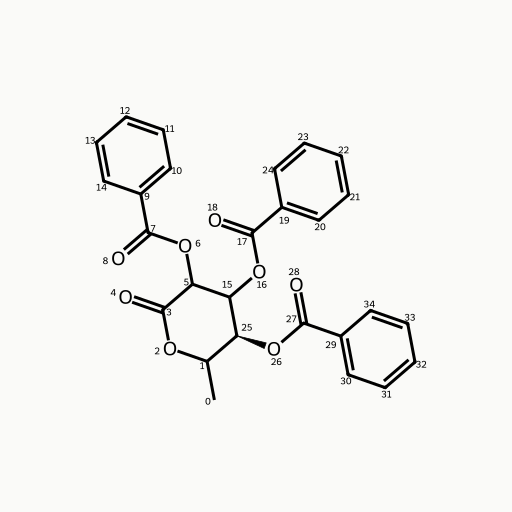 CC1OC(=O)C(OC(=O)c2ccccc2)C(OC(=O)c2ccccc2)[C@H]1OC(=O)c1ccccc1